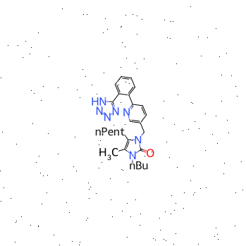 CCCCCc1c(C)n(CCCC)c(=O)n1Cc1ccc(-c2ccccc2-c2nnn[nH]2)nc1